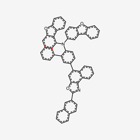 c1ccc(-c2cc(-c3cc4oc(-c5ccc6ccccc6c5)nc4c4ccccc34)ccc2N(c2ccc3oc4ccccc4c3c2)c2cccc3oc4ccccc4c23)cc1